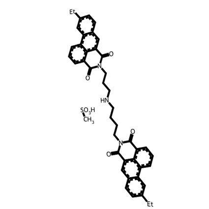 CCc1ccc2cc3c4c(cccc4c2c1)C(=O)N(CCCCNCCCN1C(=O)c2cccc4c2c(cc2ccc(CC)cc24)C1=O)C3=O.CS(=O)(=O)O